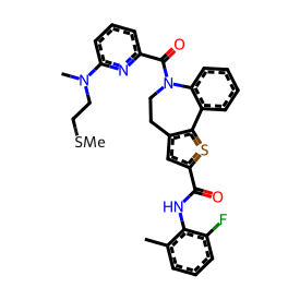 CSCCN(C)c1cccc(C(=O)N2CCc3cc(C(=O)Nc4c(C)cccc4F)sc3-c3ccccc32)n1